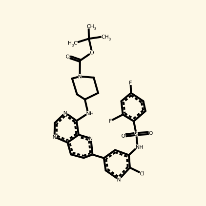 CC(C)(C)OC(=O)N1CCC(Nc2ncnc3ccc(-c4cnc(Cl)c(NS(=O)(=O)c5ccc(F)cc5F)c4)nc23)CC1